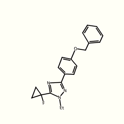 CCn1nc(-c2ccc(OCc3ccccc3)cc2)nc1C1(F)CC1